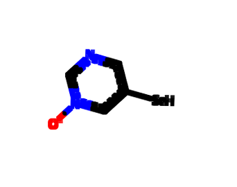 [O-][n+]1cncc([SeH])c1